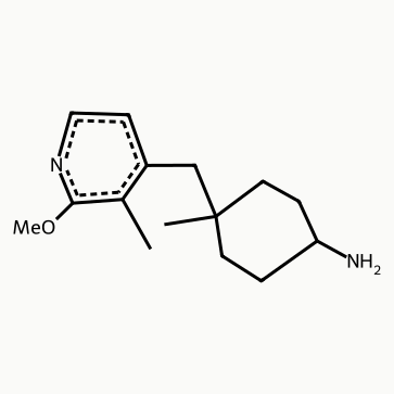 COc1nccc(CC2(C)CCC(N)CC2)c1C